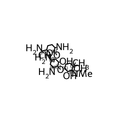 CN[C@@H]1C(O)[C@@H](O[C@@H]2C(O)C(O[C@H]3OC([C@@H](C)N)CCC3N)[C@@H](N)C[C@H]2N)CC[C@]1(C)O